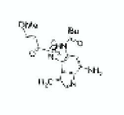 C=C1C=Nc2c(N)cc(NC(=O)C(C)CC)c(/N=C(\C)C(=O)/C=C/OC)c21